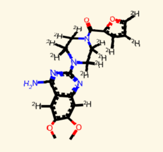 [2H]c1oc(C(=O)N2C([2H])([2H])C([2H])([2H])N(c3nc(N)c4c([2H])c(OC)c(OC)c([2H])c4n3)C([2H])([2H])C2([2H])[2H])c([2H])c1[2H]